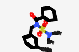 CCCN(CCC)S(=O)(=O)N(Cc1cccc(OC)c1)C(=O)c1ccccc1